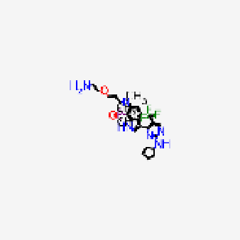 CN(CCCOCCN)c1ccc2c(-c3nc(NC4CCCC4)ncc3C(F)(F)F)c[nH]c2c1P(C)(C)=O